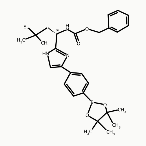 CCC(C)(C)C[C@H](NC(=O)OCc1ccccc1)c1nc(-c2ccc(B3OC(C)(C)C(C)(C)O3)cc2)c[nH]1